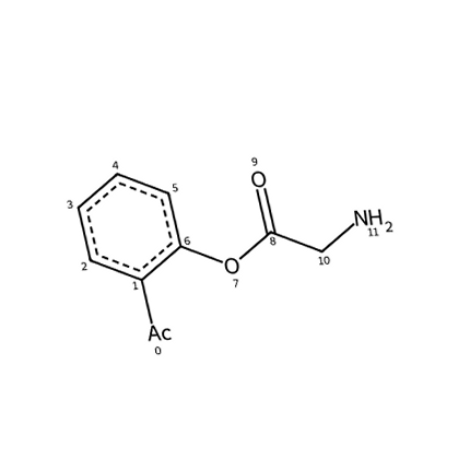 CC(=O)c1ccccc1OC(=O)CN